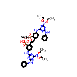 CCON(OCC)c1nc(Nc2ccccc2)nc(Nc2ccc(C=Cc3ccc(Nc4nc(Nc5ccccc5)nc(N(OCC)OCC)n4)cc3S(=O)(=O)O)c(S(=O)(=O)O)c2)n1.[NaH].[NaH]